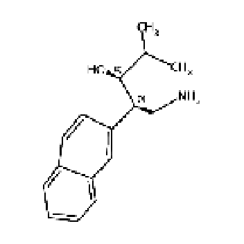 CC(C)[C@H](O)[C@@H](CN)c1ccc2ccccc2c1